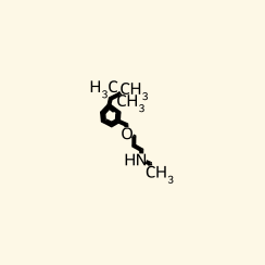 CCNCCCOCc1cccc(CC(C)(C)C)c1